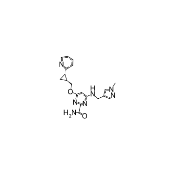 Cn1cc(CNc2cc(OC[C@H]3C[C@@H]3c3ccccn3)nc(C(N)=O)n2)cn1